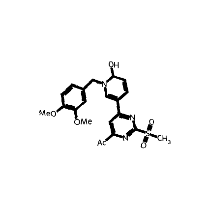 COc1ccc(CN2C=C(c3cc(C(C)=O)nc(S(C)(=O)=O)n3)C=CC2O)cc1OC